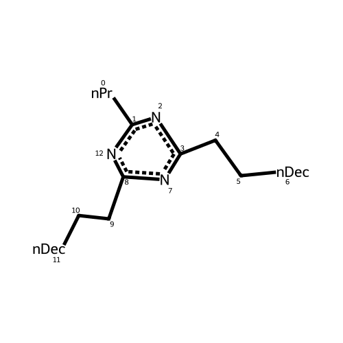 [CH2]CCc1nc(CCCCCCCCCCCC)nc(CCCCCCCCCCCC)n1